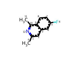 Cc1cc2cc(F)ccc2c(C)n1